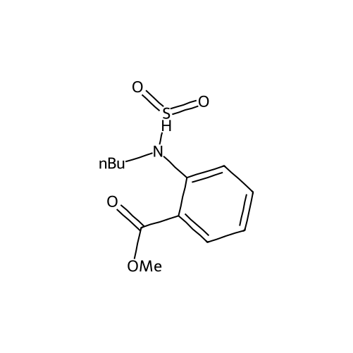 CCCCN(c1ccccc1C(=O)OC)[SH](=O)=O